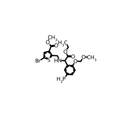 CCOC(=O)C(NCc1sc(Br)cc1C(=O)OC)c1cc(P)ccc1OCOC